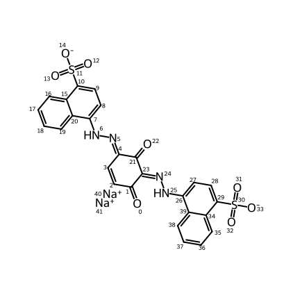 O=c1cc/c(=N\Nc2ccc(S(=O)(=O)[O-])c3ccccc23)c(=O)/c1=N/Nc1ccc(S(=O)(=O)[O-])c2ccccc12.[Na+].[Na+]